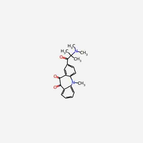 CN(C)C(C)(C)C(=O)c1ccc2c(c1)c(=O)c(=O)c1ccccc1n2C